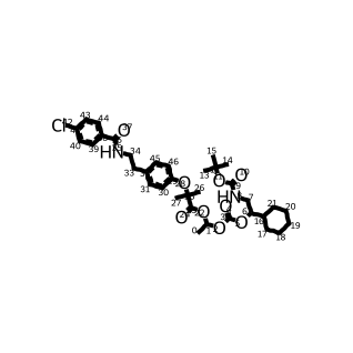 CC(OC(=O)OC(CNC(=O)OC(C)(C)C)C1CCCCC1)OC(=O)C(C)(C)Oc1ccc(CCNC(=O)c2ccc(Cl)cc2)cc1